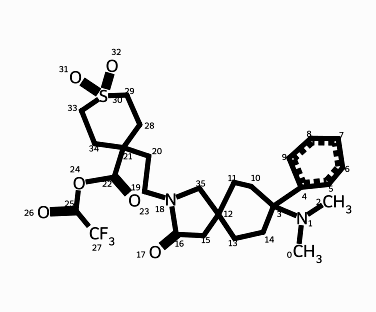 CN(C)C1(c2ccccc2)CCC2(CC1)CC(=O)N(CCC1(C(=O)OC(=O)C(F)(F)F)CCS(=O)(=O)CC1)C2